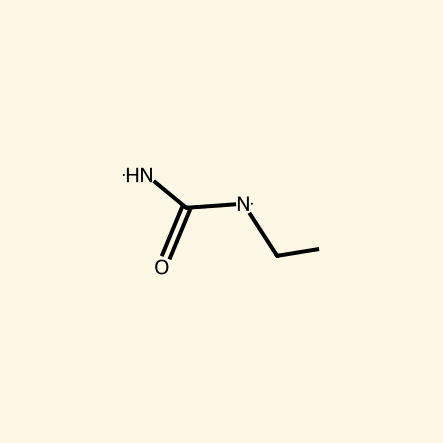 CC[N]C([NH])=O